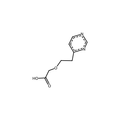 O=C(O)COCCc1ccncn1